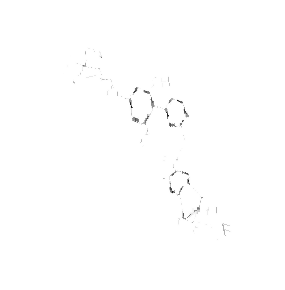 CCOC(=O)[C@@H]1[C@@H]2Cc3cc(OCc4cccc(-c5c(C)cc(OCCCC(C)(C)C#N)cc5C)c4)ncc3[C@H]21